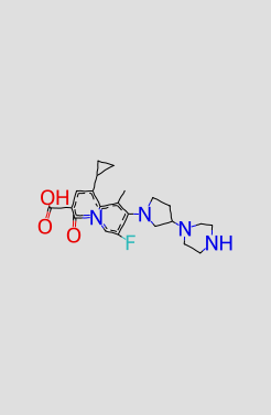 Cc1c(N2CCC(N3CCNCC3)C2)c(F)cn2c(=O)c(C(=O)O)cc(C3CC3)c12